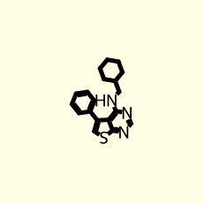 c1ccc(-c2csc3ncnc(NCC4CCCCC4)c23)cc1